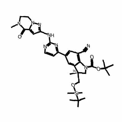 CN1CCn2nc(Nc3nccc(-c4cc(C#N)c5c(c4)[C@@](C)(CO[Si](C)(C)C(C)(C)C)CN5C(=O)OC(C)(C)C)n3)cc2C1=O